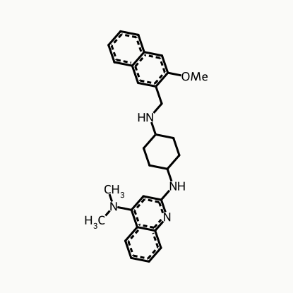 COc1cc2ccccc2cc1CNC1CCC(Nc2cc(N(C)C)c3ccccc3n2)CC1